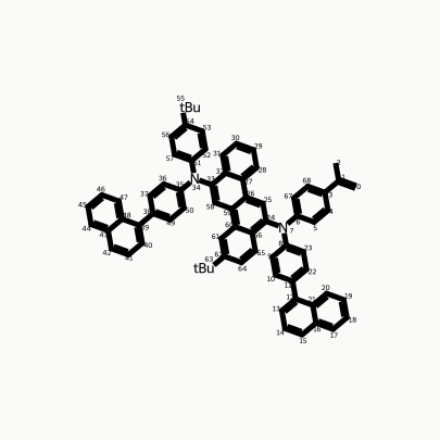 C=C(C)c1ccc(N(c2ccc(-c3cccc4ccccc34)cc2)c2cc3c4ccccc4c(N(c4ccc(-c5cccc6ccccc56)cc4)c4ccc(C(C)(C)C)cc4)cc3c3cc(C(C)(C)C)ccc23)cc1